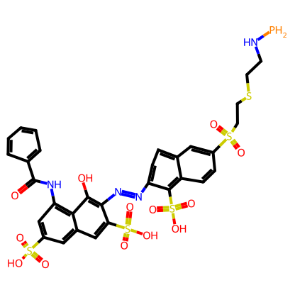 O=C(Nc1cc(S(=O)(=O)O)cc2cc(S(=O)(=O)O)c(/N=N/c3ccc4cc(S(=O)(=O)CCSCCNP)ccc4c3S(=O)(=O)O)c(O)c12)c1ccccc1